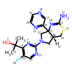 CC(C)(O)c1nc(N2C[C@H]3CSC(N)=NC3(c3cnccn3)C2)ncc1F